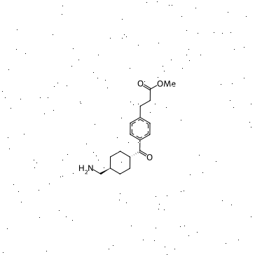 COC(=O)CCc1ccc(C(=O)[C@H]2CC[C@H](CN)CC2)cc1